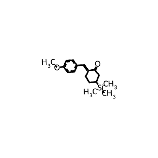 COc1ccc(C=C2CCC([Si](C)(C)C)CC2=O)cc1